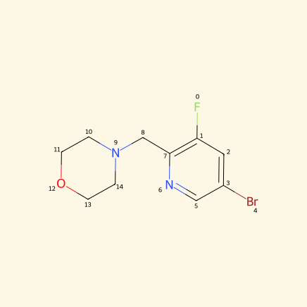 Fc1cc(Br)cnc1CN1CCOCC1